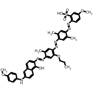 CCCOc1cc(N=Nc2ccc3cc(Nc4ccc(OC)cc4)ccc3c2O)c(C)cc1N=Nc1cc(C)c(N=Nc2ccc(OC)cc2S(=O)(=O)O)cc1C